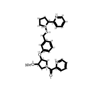 COC1CN(C(=O)c2ccccn2)CC1Oc1cccc(CSN2CCCC2c2ccccn2)c1